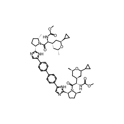 COC(=O)N[C@H](C(=O)N1[C@@H](C)CC[C@H]1c1ncc(-c2ccc(-c3ccc(-c4cnc([C@@H]5CC[C@H](C)N5C(=O)[C@@H](NC(=O)OC)[C@H]5C[C@@H](C)O[C@H](C6CC6)C5)[nH]4)cc3)cc2)[nH]1)[C@@H]1CC(C2CC2)O[C@H](C)C1